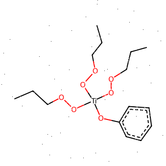 CCCO[O][Ti]([O]OCCC)([O]OCCC)[O]c1ccccc1